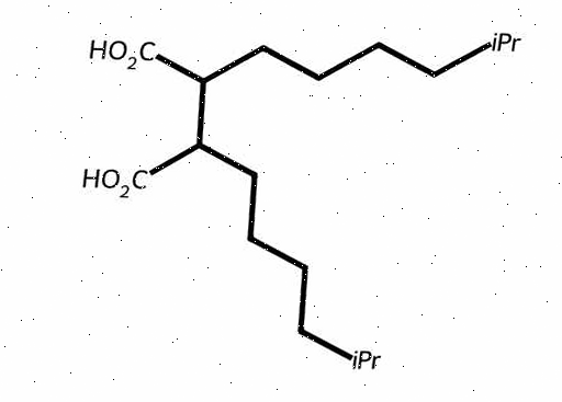 CC(C)CCCCC(C(=O)O)C(CCCCC(C)C)C(=O)O